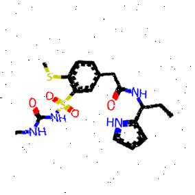 CCC(NC(=O)Cc1ccc(SC)c(S(=O)(=O)NC(=O)NC)c1)c1ccc[nH]1